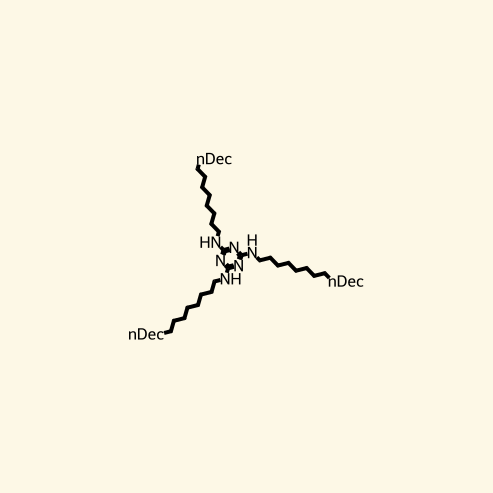 CCCCCCCCCCCCCCCCCCNc1nc(NCCCCCCCCCCCCCCCCCC)nc(NCCCCCCCCCCCCCCCCCC)n1